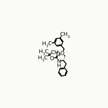 Cc1cc(C)cc(COC[C@H](Cc2ccccc2)NC(=O)OC(C)(C)C)c1